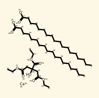 CCCCCCCCCCCCCCCCCC(=O)[O-].CCCCCCCCCCCCCCCCCC(=O)[O-].CCOC(=O)CC(O)(CC(=O)OCC)C(=O)OCC.[Ca+2]